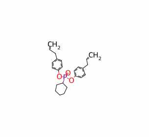 C=CCc1ccc(OP(=O)(Oc2ccc(CC=C)cc2)C2CCCCC2)cc1